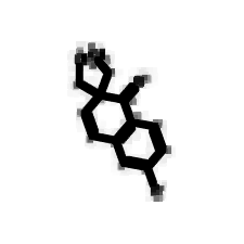 CCC1(CC)C=Cc2cc(Br)ccc2C1=O